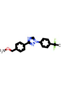 O=[N+]([O-])OCc1ccc(-c2ncn(-c3ccc(C(F)(F)C(F)(F)F)cc3)n2)cc1